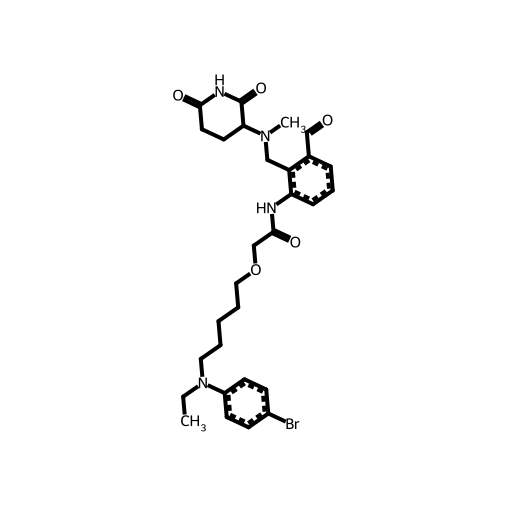 CCN(CCCCCOCC(=O)Nc1cccc(C=O)c1CN(C)C1CCC(=O)NC1=O)c1ccc(Br)cc1